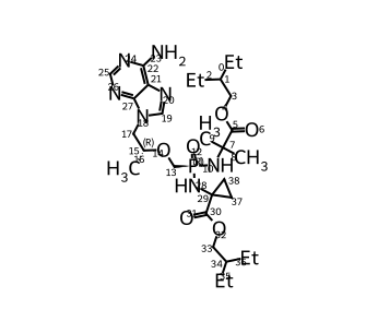 CCC(CC)COC(=O)C(C)(C)N[P@](=O)(CO[C@H](C)Cn1cnc2c(N)ncnc21)NC1(C(=O)OCC(CC)CC)CC1